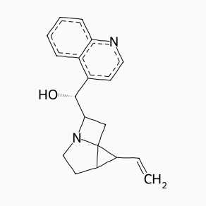 C=CC1C2CCN3C([C@H](O)c4ccnc5ccccc45)CC123